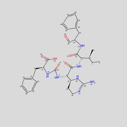 CC[C@H](C)[C@H](NC(=O)[C@@H](NC(=O)N[C@@H](Cc1ccccc1)C(=O)O)[C@@H]1CCN=C(N)N1)C(=O)NC(C=O)Cc1ccccc1